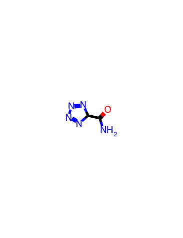 NC(=O)[C]1N=NN=N1